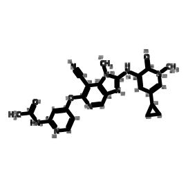 CC(=O)Nc1cc(Oc2ncc3nc(Nc4cc(C5CC5)cn(C)c4=O)n(C)c3c2C#N)ccn1